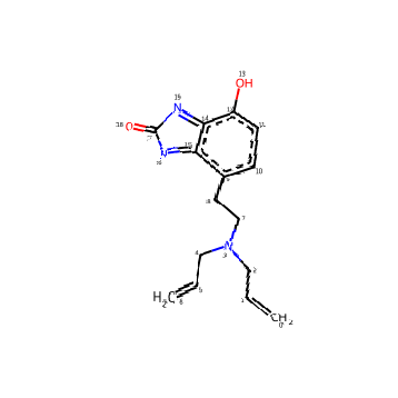 C=CCN(CC=C)CCc1ccc(O)c2c1=NC(=O)N=2